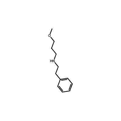 COCCCNCCc1cc[c]cc1